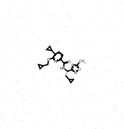 Cc1nc([C@H](CC2CC2)NC(=O)c2ccc(C3CC3)c(OCC3CC3)n2)no1